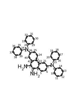 Nc1c(N)c2ccc(N(c3ccccc3)c3ccccc3)cc2c2ccc(N(c3ccccc3)c3ccccc3)cc12